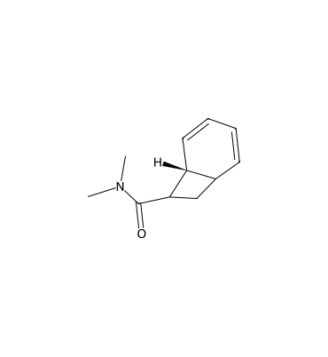 CN(C)C(=O)C1CC2C=CC=C[C@H]21